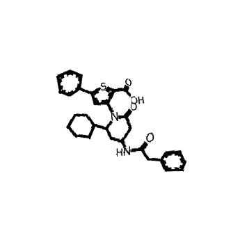 O=C(Cc1ccccc1)NC1CC(=O)N(c2cc(-c3ccccc3)sc2C(=O)O)C(C2CCCCC2)C1